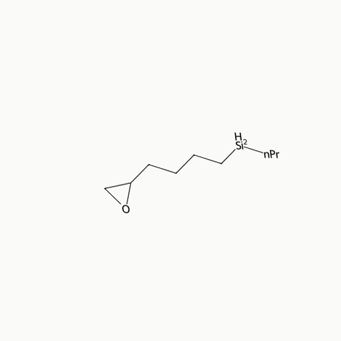 CCC[SiH2]CCCCC1CO1